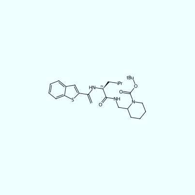 C=C(N[C@@H](CC(C)C)C(=O)NCC1CCCCN1C(=O)OC(C)(C)C)c1cc2ccccc2s1